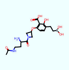 CC(=O)NCCC(N)C(=O)N1CC(Oc2ccc(CCB(O)O)c(O)c2C(=O)O)C1